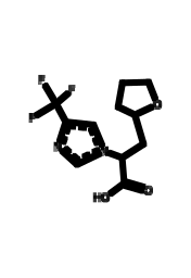 O=C(O)C(CC1CCCO1)n1cnc(C(F)(F)F)c1